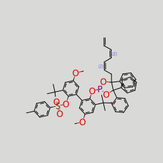 C=C/C=C\C=C/CC1(c2ccccc2)OP(Oc2c(-c3cc(OC)cc(C(C)(C)C)c3OS(=O)(=O)c3ccc(C)cc3)cc(OC)cc2C(C)(C)C)OC1(c1ccccc1)c1ccccc1